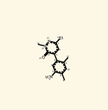 CCc1cc(-c2cc(N)c(C)cc2C)c(=O)n(C)n1